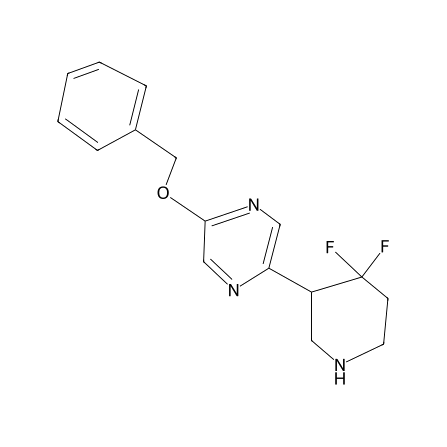 FC1(F)CCNCC1c1cnc(OCc2ccccc2)cn1